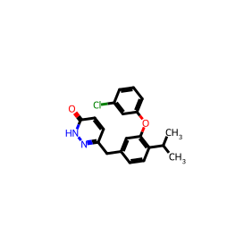 CC(C)c1ccc(Cc2ccc(=O)[nH]n2)cc1Oc1cccc(Cl)c1